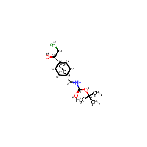 CC(C)(C)OC(=O)NC[C@]12CC[C@](C(=O)CBr)(CC1)CC2